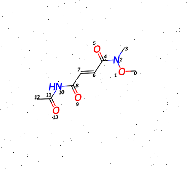 CON(C)C(=O)/C=C/C(=O)NC(C)=O